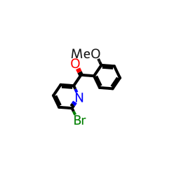 COc1ccccc1C(=O)c1cccc(Br)n1